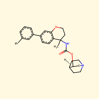 CC(C)c1cccc(-c2ccc3c(c2)OCCC3(C)NC(=O)O[C@H]2CN3CCC2CC3)c1